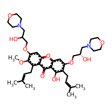 COc1c(OCC(O)CN2CCOCC2)cc2oc3cc(OC[C@@H](O)CN4CCOCC4)c(CC=C(C)C)c(O)c3c(=O)c2c1CC=C(C)C